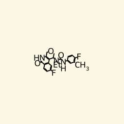 CCN(C(=O)Nc1ccc(F)c(C)c1)C1COCc2[nH]c(=O)c3ccc(F)cc3c21